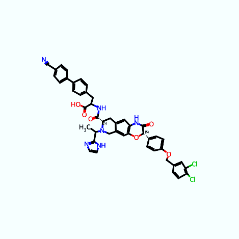 CC(c1ncc[nH]1)N1Cc2cc3c(cc2C[C@H]1C(=O)NC(Cc1ccc(-c2ccc(C#N)cc2)cc1)C(=O)O)NC(=O)[C@H](c1ccc(OCc2ccc(Cl)c(Cl)c2)cc1)O3